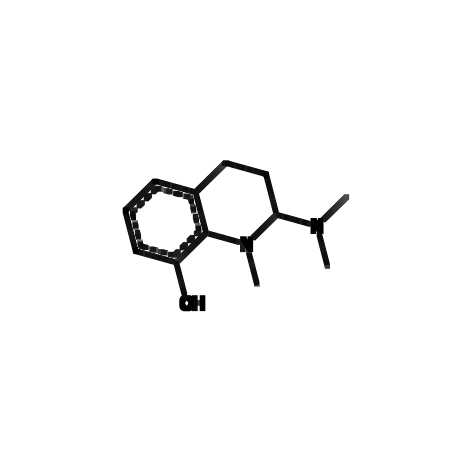 CN(C)C1CCc2cccc(O)c2N1C